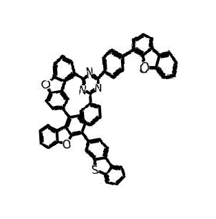 c1ccc(-c2nc(-c3ccc(-c4cccc5c4oc4ccccc45)cc3)nc(-c3cccc4oc5ccc(-c6ccc(-c7ccc8c(c7)sc7ccccc78)c7oc8ccccc8c67)cc5c34)n2)cc1